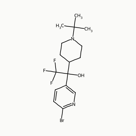 CC(C)(C)N1CCC(C(O)(c2ccc(Br)nc2)C(F)(F)F)CC1